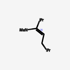 CN/C(=C\CC(C)C)C(C)C